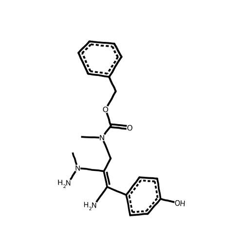 CN(C/C(=C(/N)c1ccc(O)cc1)N(C)N)C(=O)OCc1ccccc1